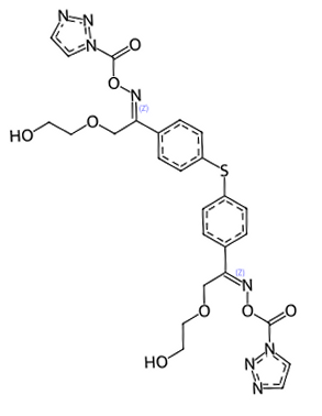 O=C(O/N=C(\COCCO)c1ccc(Sc2ccc(/C(COCCO)=N/OC(=O)n3ccnn3)cc2)cc1)n1ccnn1